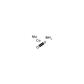 [BiH3].[Co].[Mo].[O]=[V]